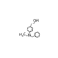 CCN(Cc1ccccc1)c1ccc(CCO)cc1